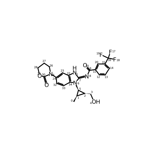 C[C@@H]1[C@@H](CO)[C@@H]1n1/c(=N/C(=O)c2cccc(C(F)(F)F)c2)[nH]c2cc(N3CCCOC3=O)ccc21